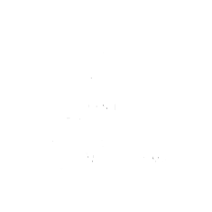 COCCc1cc(C(=O)C(=N)CC2(O)CCCC(F)(F)C2)c2c(Cl)cccn12